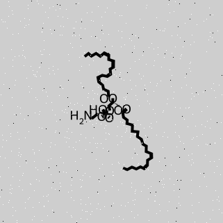 CCCCC/C=C\C/C=C\C/C=C\C/C=C\CCCC(=O)O[C@H](COC(=O)CCCCCCCCCCC/C=C\C/C=C\CCCCC)COP(=O)(O)OCCN